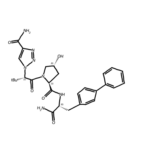 CC(C)(C)[C@@H](C(=O)N1C[C@H](O)C[C@H]1C(=O)N[C@H](Cc1ccc(-c2ccccc2)cc1)C(N)=O)n1cc(C(N)=O)nn1